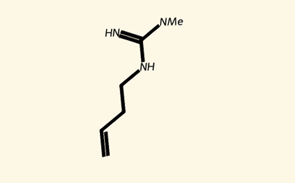 C=CCCNC(=N)NC